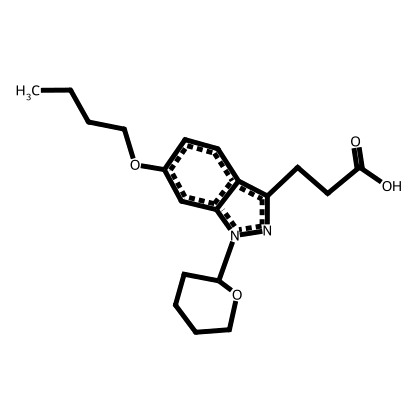 CCCCOc1ccc2c(CCC(=O)O)nn(C3CCCCO3)c2c1